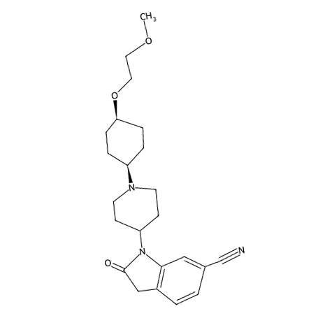 COCCO[C@H]1CC[C@@H](N2CCC(N3C(=O)Cc4ccc(C#N)cc43)CC2)CC1